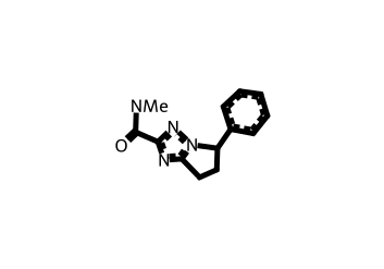 CNC(=O)c1nc2n(n1)C(c1ccccc1)CC2